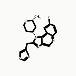 C[C@@H]1C[C@H](n2c(Cc3cscn3)nc3cnc4ccc(F)cc4c32)CCO1